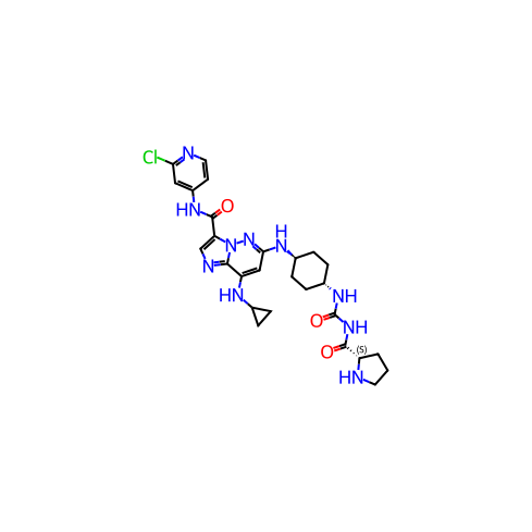 O=C(NC(=O)[C@@H]1CCCN1)N[C@H]1CC[C@H](Nc2cc(NC3CC3)c3ncc(C(=O)Nc4ccnc(Cl)c4)n3n2)CC1